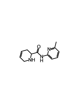 Cc1cccc(NC(=O)C2CC=CCN2)n1